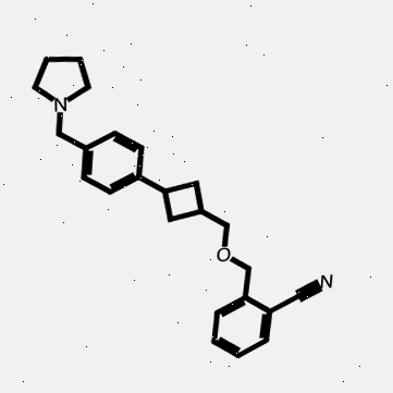 N#Cc1ccccc1COCC1CC(c2ccc(CN3CCCC3)cc2)C1